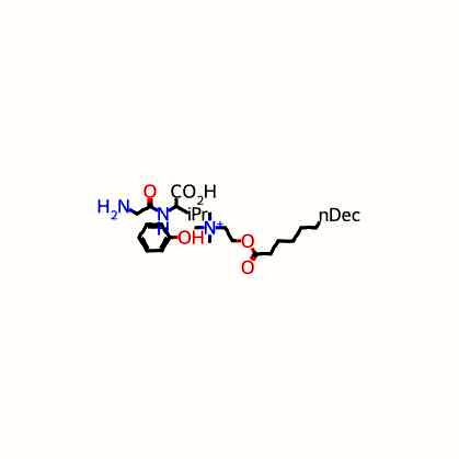 CC(C)C(NC(=O)CN)C(=O)O.CCCCCCCCCCCCCCCC(=O)OCC[N+](C)(C)C.Oc1ccccc1